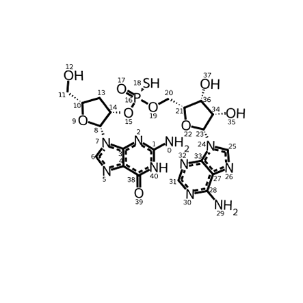 Nc1nc2c(ncn2[C@@H]2O[C@H](CO)C[C@@H]2O[P@](=O)(S)OC[C@H]2O[C@@H](n3cnc4c(N)ncnc43)[C@@H](O)[C@H]2O)c(=O)[nH]1